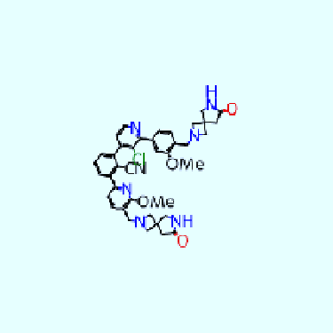 COc1cc(-c2nccc(-c3cccc(-c4ccc(CN5CC6(CNC(=O)C6)C5)c(OC)n4)c3C#N)c2Cl)ccc1CN1CC2(CNC(=O)C2)C1